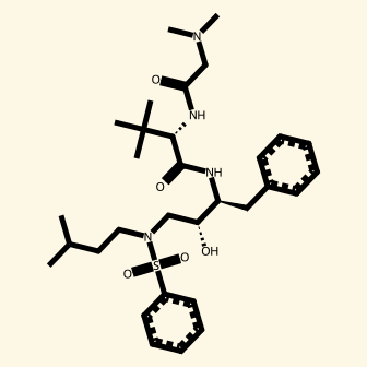 CC(C)CCN(C[C@@H](O)[C@H](Cc1ccccc1)NC(=O)[C@@H](NC(=O)CN(C)C)C(C)(C)C)S(=O)(=O)c1ccccc1